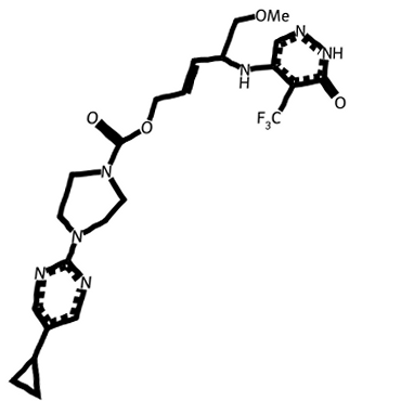 COCC(/C=C/COC(=O)N1CCN(c2ncc(C3CC3)cn2)CC1)Nc1cn[nH]c(=O)c1C(F)(F)F